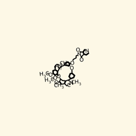 COC1=CC2=C3CC1Oc1c(OC)c(OC)cc4c1[C@@H](Cc1ccc(OCCCN5C(=O)c6ccncc6C5=O)c(c1)Oc1ccc(cc1)C3N(C)CC2)N(C)CC4